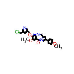 COc1ccc(C2=CN3C(=O)c4cc(OC)c(OCc5cncc(CCl)c5)cc4NC[C@@H]3C2)cc1